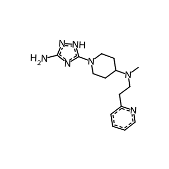 CN(CCc1ccccn1)C1CCN(c2nc(N)n[nH]2)CC1